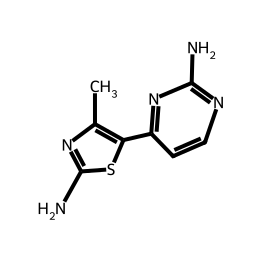 Cc1nc(N)sc1-c1ccnc(N)n1